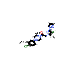 COc1cc(N2CCN(C(=O)Cn3nc(-n4cccn4)c(Cl)c3C)[C@@H](C)C2)ccc1Cl